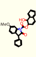 COc1ccc2c(c1)N(C(=O)OC1C=Cc3ccccc3C1O)C(=O)C2c1ccccc1